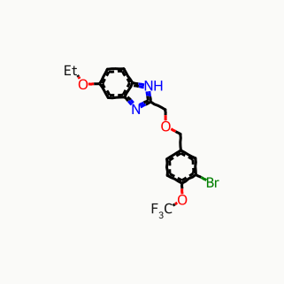 CCOc1ccc2[nH]c(COCc3ccc(OC(F)(F)F)c(Br)c3)nc2c1